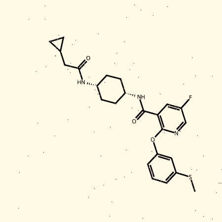 CSc1cccc(Oc2ncc(F)cc2C(=O)N[C@H]2CC[C@@H](NC(=O)CC3CC3)CC2)c1